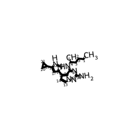 CCCC[C@H](C)Nc1nc(N)nn2ccc(-c3cc(C4CC4)[nH]n3)c12